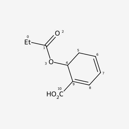 CCC(=O)OC1CC=CC=C1C(=O)O